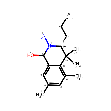 CCC[C@H]1N(N)C(O)c2cc(C)cc(C)c2C1(C)C